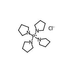 C1CCN([P+](N2CCCC2)(N2CCCC2)N2CCCC2)C1.[Cl-]